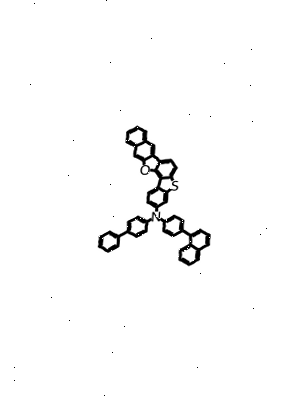 c1ccc(-c2ccc(N(c3ccc(-c4cccc5ccccc45)cc3)c3ccc4c(c3)sc3ccc5c6cc7ccccc7cc6oc5c34)cc2)cc1